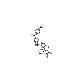 O=C1NCC2(CCCCC2)N2c3nc(Nc4ccc(C(=O)N5CCN(C6CCC6)CC5)cn4)ncc3C=CC12